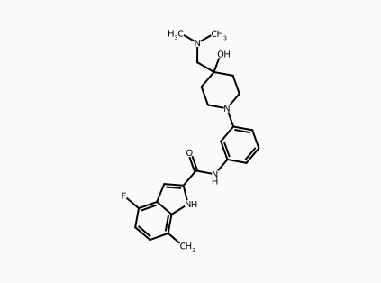 Cc1ccc(F)c2cc(C(=O)Nc3cccc(N4CCC(O)(CN(C)C)CC4)c3)[nH]c12